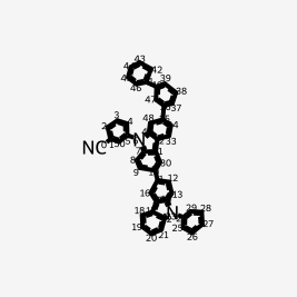 N#Cc1cccc(-n2c3ccc(-c4ccc5c(c4)c4ccccc4n5-c4ccccc4)cc3c3ccc(-c4cccc(-c5ccccc5)c4)cc32)c1